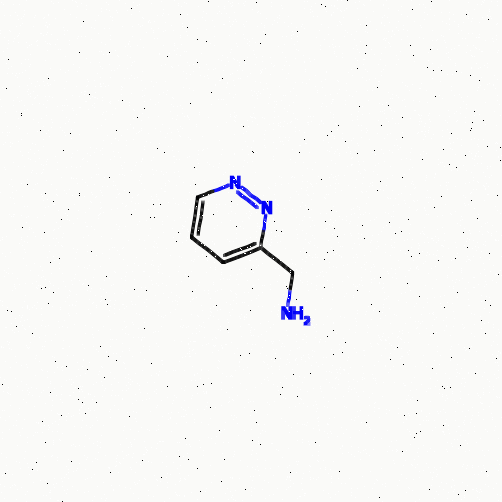 NCc1cccnn1